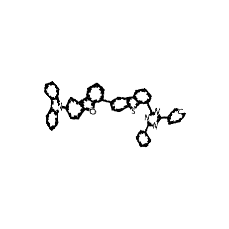 c1ccc(-c2nc(-c3ccccc3)nc(-c3cccc4c3sc3ccc(-c5cccc6c5oc5ccc(-n7c8ccccc8c8ccccc87)cc56)cc34)n2)cc1